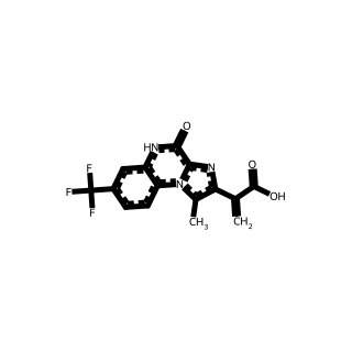 C=C(C(=O)O)c1nc2c(=O)[nH]c3cc(C(F)(F)F)ccc3n2c1C